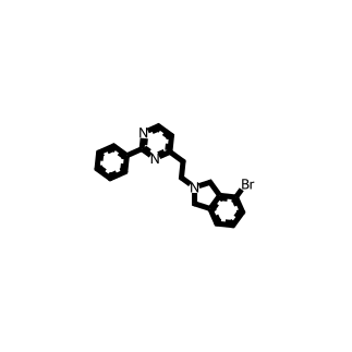 Brc1cccc2c1CN(CCc1ccnc(-c3ccccc3)n1)C2